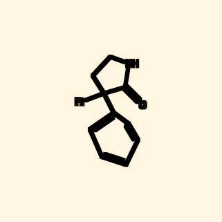 CCC1(c2ccccc2)CCNC1=O